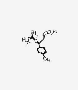 CCOC(=O)CC(=C=C(C)C)c1ccc(O)cc1